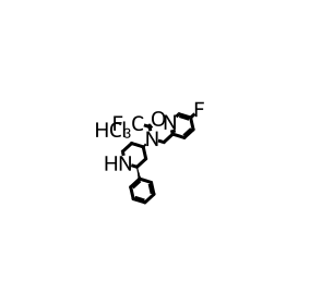 Cl.O=C(N(Cc1ccc(F)cn1)[C@@H]1CCN[C@H](c2ccccc2)C1)C(F)(F)F